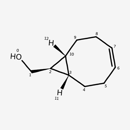 OC[C@@H]1[C@H]2CC/C=C\CC[C@@H]12